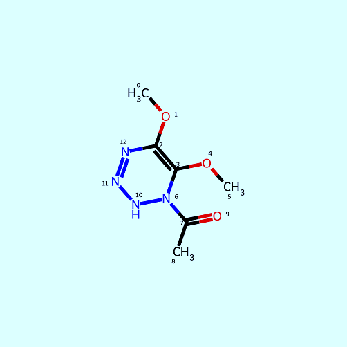 COC1=C(OC)N(C(C)=O)NN=N1